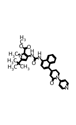 COC(=O)c1c(NC(=O)Nc2ccc(C3=CC(=O)N(c4ccncc4)CC3)c3ccccc23)cc(C(C)(C)C)n1C